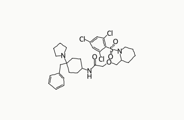 O=C(COCC1CCCCN1S(=O)(=O)c1c(Cl)cc(Cl)cc1Cl)NC1CCC(Cc2ccccc2)(N2CCCC2)CC1